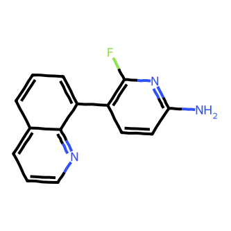 Nc1ccc(-c2cccc3cccnc23)c(F)n1